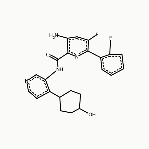 Nc1cc(F)c(-c2ccccc2F)nc1C(=O)Nc1cnccc1C1CCC(O)CC1